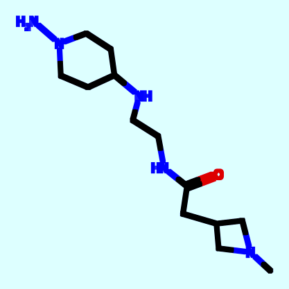 CN1CC(CC(=O)NCCNC2CCN(N)CC2)C1